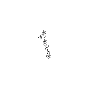 C=CC(=O)Oc1ccc(CCC(=O)Oc2ccc(-c3ccc(-c4ccc(OC(=O)C(=C)C)cc4)cc3F)cc2)cc1OC(=O)C=C